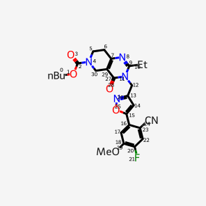 CCCCOC(=O)N1CCc2nc(CC)n(Cc3cc(-c4cc(OC)c(F)cc4C#N)on3)c(=O)c2C1